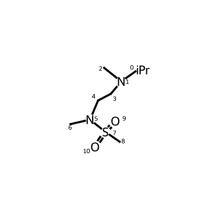 CC(C)N(C)CCN(C)S(C)(=O)=O